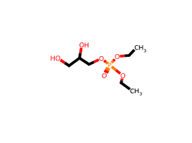 CCOP(=O)(OCC)OCC(O)CO